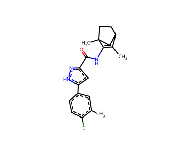 CC1=C(NC(=O)c2cc(-c3ccc(Cl)c(C)c3)[nH]n2)C2(C)CCC1C2